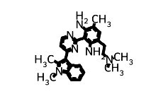 Cc1cc(CCN(C)C)c(N)c(-c2nccc(-c3c(C)n(C)c4ccccc34)n2)c1N